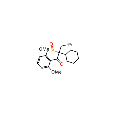 COc1cccc(OC)c1C(=O)C(CC(C)C)(P=O)C1CCCCC1